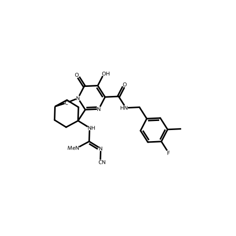 CN/C(=N\C#N)NC12CCC(CC1)Cn1c2nc(C(=O)NCc2ccc(F)c(C)c2)c(O)c1=O